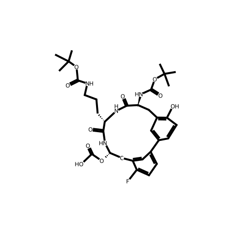 CC(C)(C)OC(=O)NCCC[C@@H]1NC(=O)[C@@H](NC(=O)OC(C)(C)C)Cc2cc(ccc2O)-c2ccc(F)c(c2)C[C@H](OC(=O)O)NC1=O